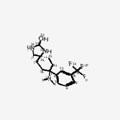 CN(C)[C@]1(c2cccc(C(F)(F)F)c2)CC[C@]2(CC1)CNC(O)N2